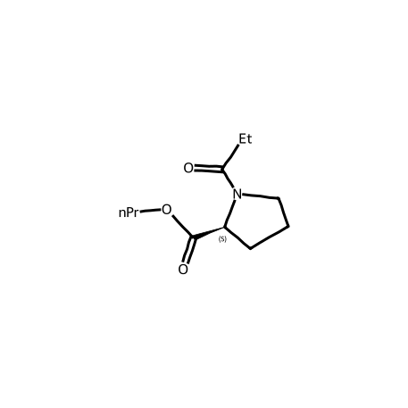 CCCOC(=O)[C@@H]1CCCN1C(=O)CC